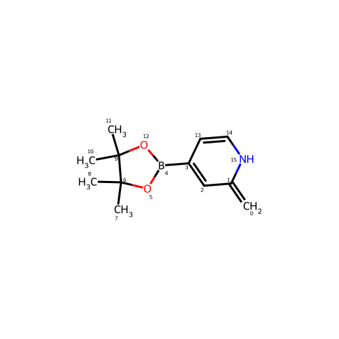 C=C1C=C(B2OC(C)(C)C(C)(C)O2)C=CN1